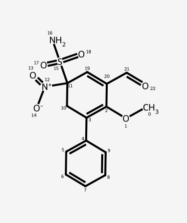 COC1=C(c2ccccc2)CC([N+](=O)[O-])(S(N)(=O)=O)C=C1C=O